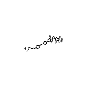 CCCCCc1ccc(C#Cc2ccc(-c3cc(F)c(C(F)(F)Oc4cc(F)c(OC(F)(F)F)c(F)c4)c(F)c3)cc2)cc1